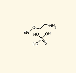 CCCOCCN.OP(O)(O)=S